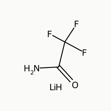 NC(=O)C(F)(F)F.[LiH]